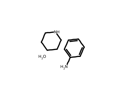 C1CCNCC1.Nc1ccccc1.O